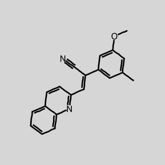 COc1cc(C)cc(/C(C#N)=C/c2ccc3ccccc3n2)c1